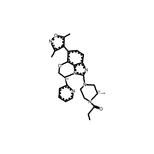 CCC(=O)N1CCN(c2nc3ccc(-c4c(C)noc4C)c4c3n2[C@@H](c2ccccn2)CO4)C[C@@H]1C